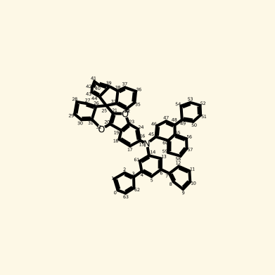 c1ccc(-c2cc(-c3ccccc3)cc(N(c3ccc4c5c(oc4c3)C3(c4ccccc4O5)c4ccccc4-c4ccccc43)c3ccc(-c4ccccc4)c4ccccc34)c2)cc1